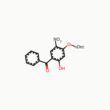 CCCCCCCCCCOc1cc(O)c(C(=O)c2ccccc2)cc1[N+](=O)[O-]